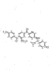 O=C(c1ccc([S+]([O-])c2ccc(C(F)(F)F)cc2)c(C(=O)O)c1)c1ccc(NC(c2ccc(Cl)cc2)C2CC2)cn1